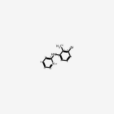 Cc1c(Br)cccc1Nc1ccccn1